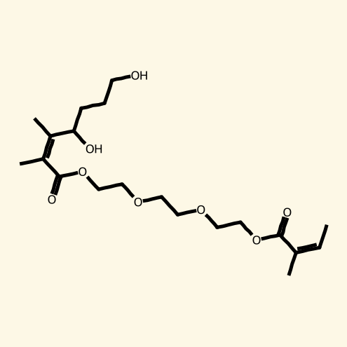 CC=C(C)C(=O)OCCOCCOCCOC(=O)C(C)=C(C)C(O)CCCO